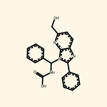 O=C(O)NC(c1ccccc1)n1c(-c2ccccc2)nc2ccc(CO)nc21